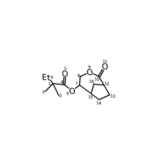 CCC(C)(C)C(=O)OC1COC(=O)C2CCC1C2